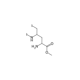 COC(=O)C(N)CC(CI)NI